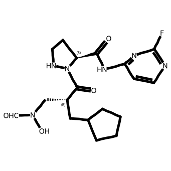 O=CN(O)C[C@@H](CC1CCCC1)C(=O)N1NCC[C@H]1C(=O)Nc1ccnc(F)n1